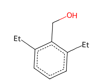 CCc1cccc(CC)c1CO